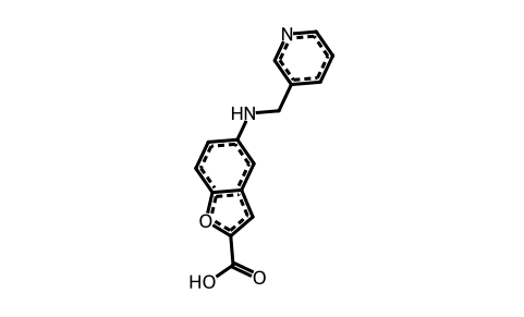 O=C(O)c1cc2cc(NCc3cccnc3)ccc2o1